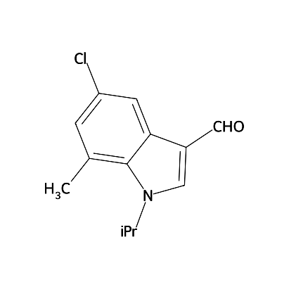 Cc1cc(Cl)cc2c(C=O)cn(C(C)C)c12